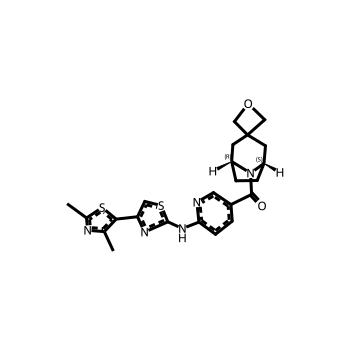 Cc1nc(C)c(-c2csc(Nc3ccc(C(=O)N4[C@@H]5CC[C@H]4CC4(COC4)C5)cn3)n2)s1